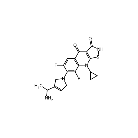 CC(N)C1=CCN(c2c(F)cc3c(=O)c4c(=O)[nH]sc4n(C4CC4)c3c2F)C1